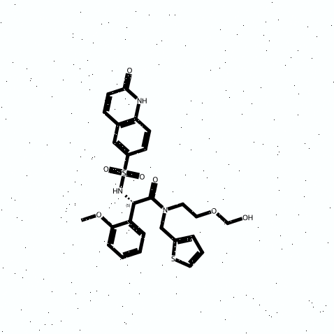 COc1ccccc1[C@H](NS(=O)(=O)c1ccc2[nH]c(=O)ccc2c1)C(=O)N(CCOCO)Cc1cccs1